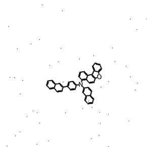 c1ccc2cc(-c3ccc(N(c4ccc5ccccc5c4)c4cccc5c4ccc4oc6ccccc6c45)cc3)ccc2c1